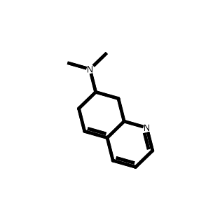 CN(C)C1CC=C2C=CC=NC2C1